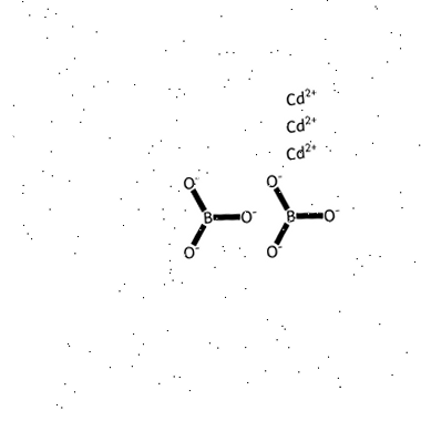 [Cd+2].[Cd+2].[Cd+2].[O-]B([O-])[O-].[O-]B([O-])[O-]